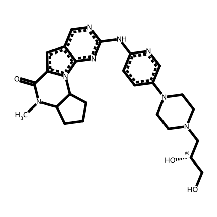 CN1C(=O)c2cc3cnc(Nc4ccc(N5CCN(C[C@@H](O)CO)CC5)cn4)nc3n2C2CCCC21